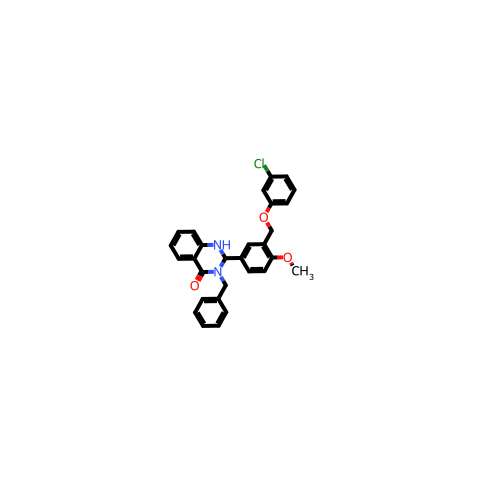 COc1ccc(C2Nc3ccccc3C(=O)N2Cc2ccccc2)cc1COc1cccc(Cl)c1